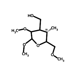 COCC1OC(OC)C(OC)C(CO)[C@@H]1C